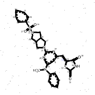 CN(c1ccccc1)c1cc(/C=C2\SC(=O)NC2=O)nc(N2CC3CN(S(=O)(=O)c4ccccc4)CC3C2)n1